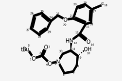 CC(C)(C)OC(=O)ON1CCC[C@@H](O)[C@H](NC(=O)c2cc(F)ccc2OCc2ccccc2)C1